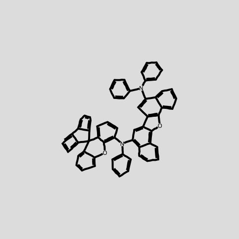 c1ccc(N(c2ccccc2)c2cc3c4cc(N(c5ccccc5)c5cccc6c5Oc5ccccc5C65c6ccccc6-c6ccccc65)c5ccccc5c4oc3c3ccccc23)cc1